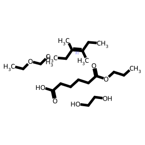 CC/C(C)=C(\C)CC.CCCOC(=O)CCCCC(=O)O.CCOCC.OCCO